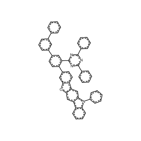 c1ccc(-c2cccc(-c3ccc(-c4ccc5c(c4)oc4cc6c7ccccc7n(-c7ccccc7)c6cc45)c(-c4nc(-c5ccccc5)nc(-c5ccccc5)n4)c3)c2)cc1